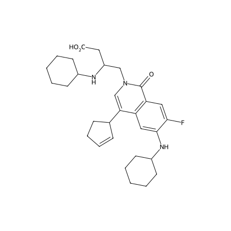 O=C(O)CC(Cn1cc(C2C=CCC2)c2cc(NC3CCCCC3)c(F)cc2c1=O)NC1CCCCC1